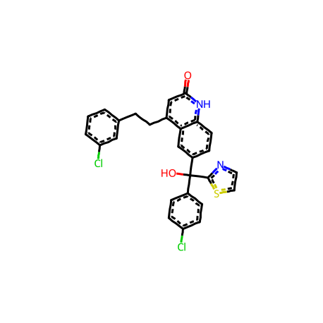 O=c1cc(CCc2cccc(Cl)c2)c2cc(C(O)(c3ccc(Cl)cc3)c3nccs3)ccc2[nH]1